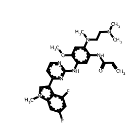 C=CC(=O)Nc1cc(Nc2nccc(-c3cn(C)c4cc(F)cc(F)c34)n2)c(OC)cc1N(C)CCN(C)C